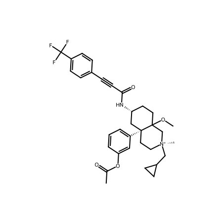 COC12CC[C@@H](NC(=O)C#Cc3ccc(C(F)(F)F)cc3)C[C@]1(c1cccc(OC(C)=O)c1)CC[N@+](C)(CC1CC1)C2